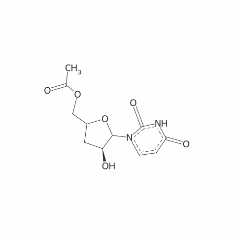 CC(=O)OCC1C[C@H](O)C(n2ccc(=O)[nH]c2=O)O1